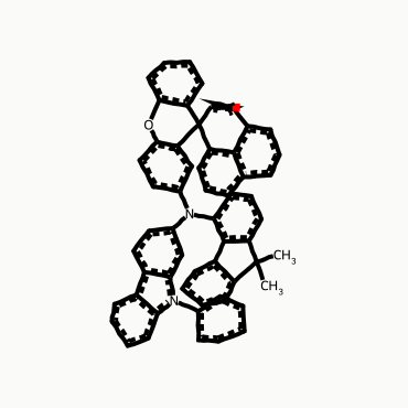 CC1(C)c2ccccc2-c2c(N(c3ccc4c(c3)C3(c5ccccc5O4)c4ccccc4-c4cccc5cccc3c45)c3ccc4c5ccccc5n(-c5ccccc5)c4c3)cccc21